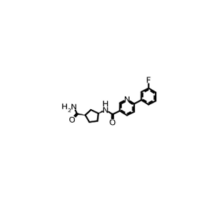 NC(=O)[C@@H]1CC[C@H](NC(=O)c2ccc(-c3cccc(F)c3)nc2)C1